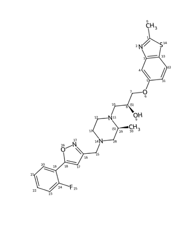 Cc1nc2cc(OC[C@@H](O)CN3CCN(Cc4cc(-c5ccccc5F)on4)C[C@@H]3C)ccc2s1